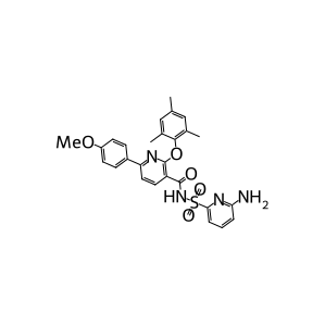 COc1ccc(-c2ccc(C(=O)NS(=O)(=O)c3cccc(N)n3)c(Oc3c(C)cc(C)cc3C)n2)cc1